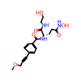 COCC#Cc1ccc(C(=O)N[C@@H](CCC(=O)NO)C(=O)NCCO)cc1